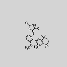 CC1(C)CCC(C)(C)c2cc(C(F)(F)F)c(-c3c(C=C4SC(=O)NC4=O)cccc3OC(F)(F)F)cc21